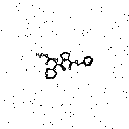 COC(=O)N[C@@H](C(=O)N1CCCC1C(=O)OCc1ccccc1)C1CCCCC1